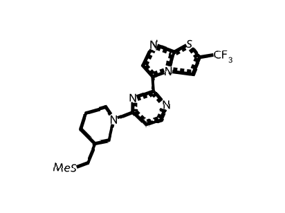 CSCC1CCCN(c2ccnc(-c3cnc4sc(C(F)(F)F)cn34)n2)C1